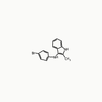 Cc1[nH]c2ccccc2c1Nc1ccc(Br)cc1